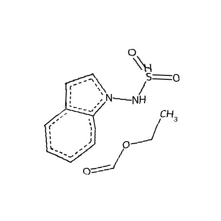 CCOC=O.O=[SH](=O)Nn1ccc2ccccc21